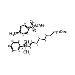 CCCCCCCCCCCCCCCCCC[N+](C)(C)c1ccccc1.COS(=O)(=O)c1ccc(C)cc1